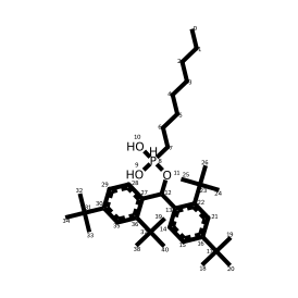 CCCCCCCC[PH](O)(O)OC(c1ccc(C(C)(C)C)cc1C(C)(C)C)c1ccc(C(C)(C)C)cc1C(C)(C)C